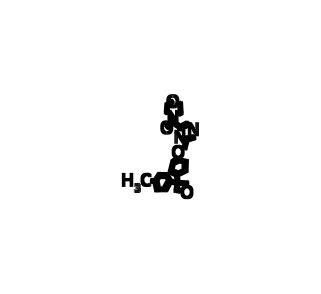 Cc1ccc(C2(c3ccc(OCc4cncc(C(=O)N5CCOCC5)n4)cc3)COC2)cc1